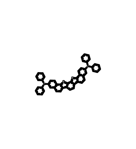 c1ccc(N(c2ccccc2)c2ccc3c(ccc4c5ccc6c7ccc8cc(N(c9ccccc9)c9ccccc9)ccc8c7oc6c5oc34)c2)cc1